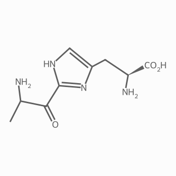 CC(N)C(=O)c1nc(C[C@H](N)C(=O)O)c[nH]1